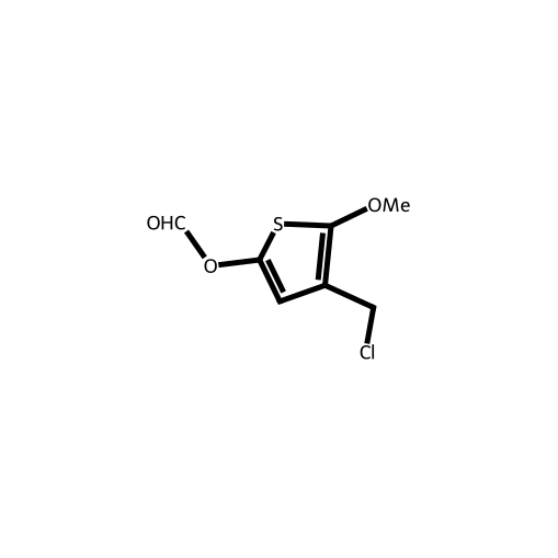 COc1sc(OC=O)cc1CCl